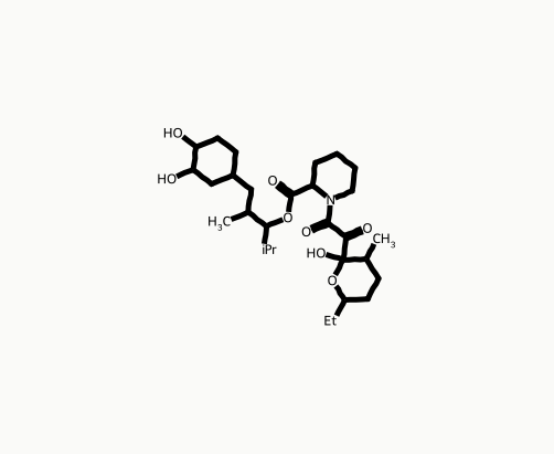 CCC1CCC(C)C(O)(C(=O)C(=O)N2CCCCC2C(=O)OC(C(C)C)C(C)CC2CCC(O)C(O)C2)O1